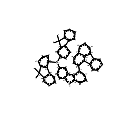 CC1(C)c2ccccc2-c2ccc(N(c3ccc4oc5cccc(-c6ccc7cccc8c7c6-c6ccccc6-8)c5c4c3)c3cccc4c3-c3ccccc3C4(C)C)cc21